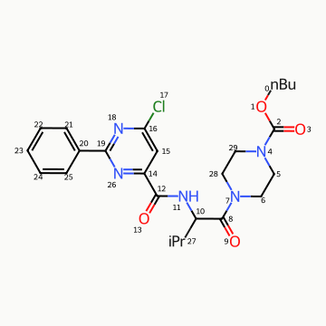 CCCCOC(=O)N1CCN(C(=O)C(NC(=O)c2cc(Cl)nc(-c3ccccc3)n2)C(C)C)CC1